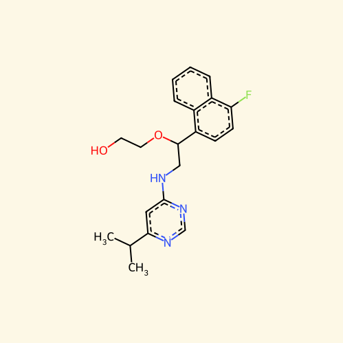 CC(C)c1cc(NCC(OCCO)c2ccc(F)c3ccccc23)ncn1